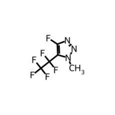 Cn1nnc(F)c1C(F)(F)C(F)(F)F